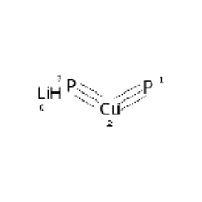 [LiH].[P]#[Cu]#[P]